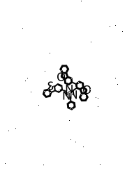 C1=CC2Sc3ccccc3C2C=C1c1nc(-c2ccccc2)nc(-c2c(-c3ccc4oc5ccccc5c4c3)ccc3oc4ccccc4c23)n1